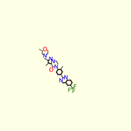 Cc1cc(-c2ncc3cc(C(F)(F)F)ccc3n2)ccc1N1CCn2nc(CN3CCO[C@H](C)C3)c(C)c2C1=O